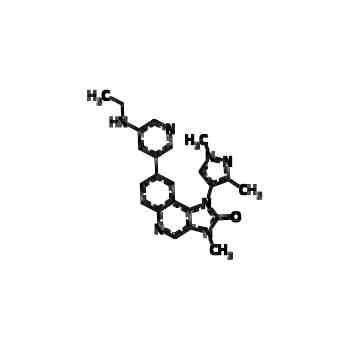 CCNc1cncc(-c2ccc3ncc4c(c3c2)n(-c2cn(C)nc2C)c(=O)n4C)c1